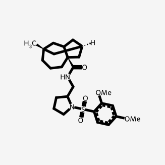 COc1ccc(S(=O)(=O)N2CCCC2CNC(=O)[C@@]23CCC[C@]4(C)CC2C[C@H](C4)C3)c(OC)c1